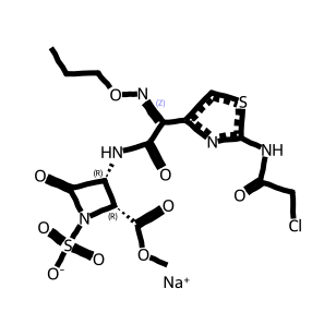 CCCO/N=C(\C(=O)N[C@H]1C(=O)N(S(=O)(=O)[O-])[C@H]1C(=O)OC)c1csc(NC(=O)CCl)n1.[Na+]